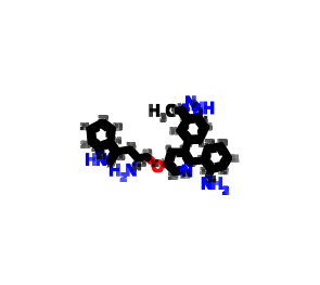 Cc1n[nH]c2ccc(-c3cc(OC[C@H](N)Cc4c[nH]c5ccccc45)cnc3-c3ccccc3N)cc12